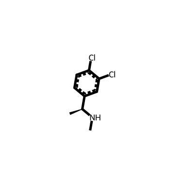 CN[C@@H](C)c1ccc(Cl)c(Cl)c1